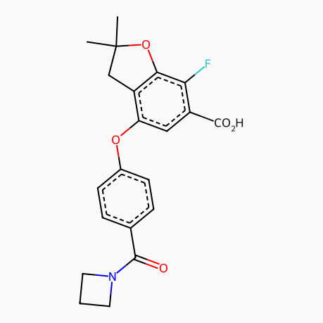 CC1(C)Cc2c(Oc3ccc(C(=O)N4CCC4)cc3)cc(C(=O)O)c(F)c2O1